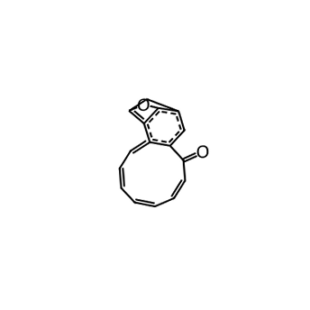 O=C1C=CC=CC=CC=c2c1cc1c3c2=C(C1)O3